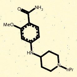 CCCN1CCC(Nc2ccc(C(N)=O)c(OC)c2)CC1